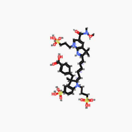 CON(C)C(=O)c1cc2c([n+](CCCS(=O)(=O)O)c1)N=C(/C=C/C=C/C=C1/N(CCCS(=O)(=O)O)c3ccc(S(=O)(=O)O)cc3C1(C)Cc1ccc(C(=O)O)cc1)C2(C)C